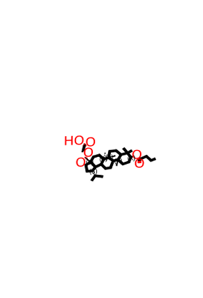 CCCC(=O)O[C@@H]1CC[C@@]2(C)C(CC[C@]3(C)C2CCC2C4[C@H](C(C)C)CC[C@]4(C(=O)OCC(=O)O)CC[C@]23C)C1(C)C